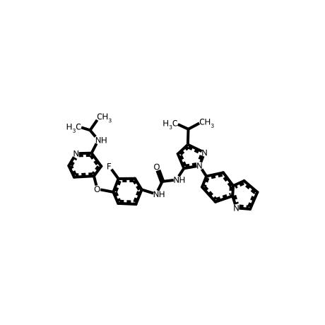 CC(C)Nc1cc(Oc2ccc(NC(=O)Nc3cc(C(C)C)nn3-c3ccc4ncccc4c3)cc2F)ccn1